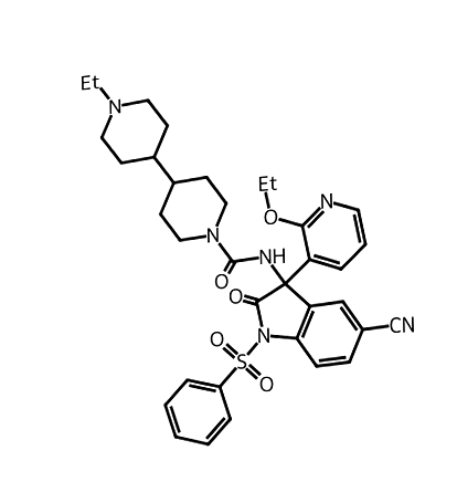 CCOc1ncccc1C1(NC(=O)N2CCC(C3CCN(CC)CC3)CC2)C(=O)N(S(=O)(=O)c2ccccc2)c2ccc(C#N)cc21